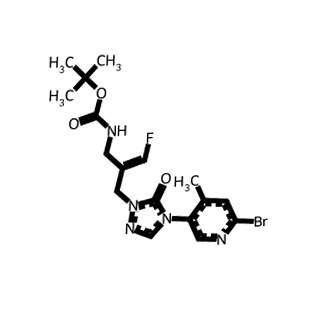 Cc1cc(Br)ncc1-n1cnn(CC(=CF)CNC(=O)OC(C)(C)C)c1=O